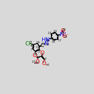 COC=C(OC1=CC=C(Cl)CC1=C=NNc1ccc([N+](=O)[O-])cc1)C(=O)OC